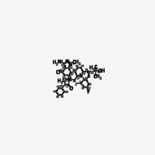 CC(C(=O)N[C@@H](Cc1cc(F)cc(F)c1)c1nc(C#CC(C)(C)O)ccc1-c1ccc(Cl)c2c(N)nn(C)c12)c1ccccc1